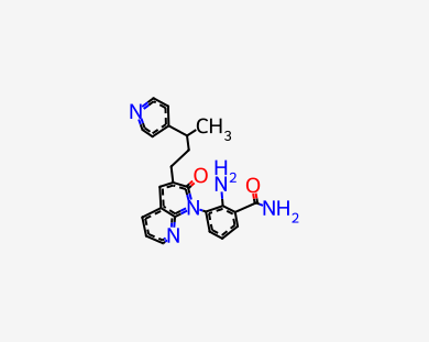 CC(CCc1cc2cccnc2n(-c2cccc(C(N)=O)c2N)c1=O)c1ccncc1